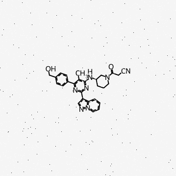 Cc1c(N[C@@H]2CCCN(C(=O)CC#N)C2)nc(-c2cnn3ccccc23)nc1-c1ccc(CO)cc1